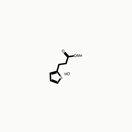 COC(=O)CCc1cccs1.Cl